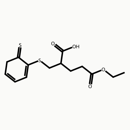 CCOC(=O)CCC(CSC1=CC=CCC1=S)C(=O)O